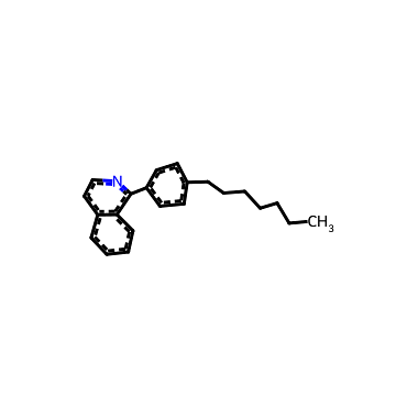 CCCCCCCc1ccc(-c2nccc3ccccc23)cc1